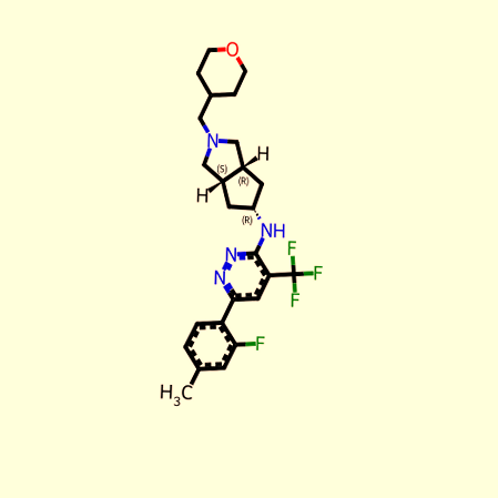 Cc1ccc(-c2cc(C(F)(F)F)c(N[C@@H]3C[C@@H]4CN(CC5CCOCC5)C[C@@H]4C3)nn2)c(F)c1